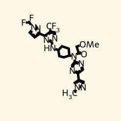 COCC(=O)N(c1cnc(-c2cnn(C)c2)cn1)C1CCC(Nc2ncc(C(F)(F)F)c(-c3ccn(C(F)F)n3)n2)CC1